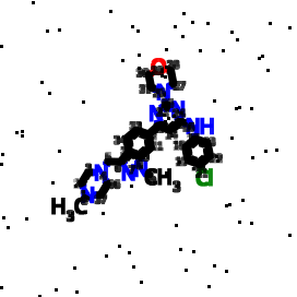 CN1CCN(Cc2nn(C)c3cc(-c4cc(Nc5ccc(Cl)cc5)nc(N5CCOCC5)n4)ccc23)CC1